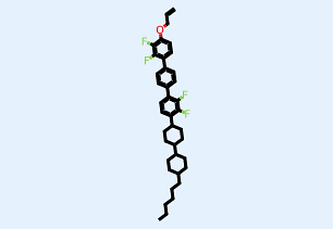 C=CCOc1ccc(-c2ccc(-c3ccc(C4CCC(C5CCC(CCCCCC)CC5)CC4)c(F)c3F)cc2)c(F)c1F